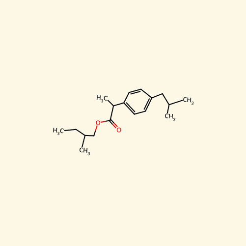 CCC(C)COC(=O)C(C)c1ccc(CC(C)C)cc1